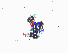 C#Cc1c(F)ccc2cc(O)cc(-c3nc4c5c(nc(OC[C@@]67CCCN6C[C@H](F)C7)nc5c3F)N3CC5CCC(N5)[C@@H]3CN4)c12